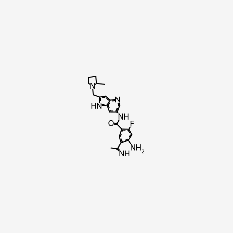 CC(=N)c1cc(C(=O)Nc2cnc3cc(CN4CCCC4C)[nH]c3c2)c(F)cc1N